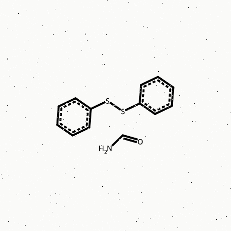 NC=O.c1ccc(SSc2ccccc2)cc1